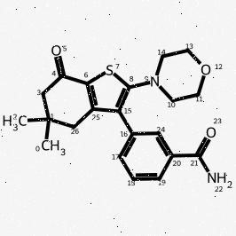 CC1(C)CC(=O)c2sc(N3CCOCC3)c(-c3cccc(C(N)=O)c3)c2C1